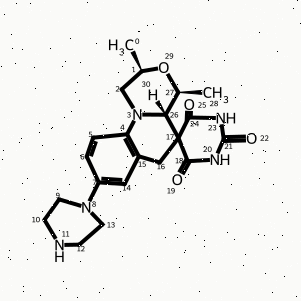 C[C@@H]1CN2c3ccc(N4CCNCC4)cc3CC3(C(=O)NC(=O)NC3=O)[C@H]2[C@H](C)O1